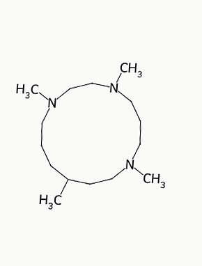 CC1CCCN(C)CCN(C)CCCN(C)CC1